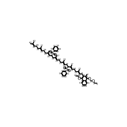 CCOCOc1c(C)c(C/C=C(\C)CC/C=C(\C)C(C/C=C(\C)CC/C=C(\C)CC(/C=C(\C)CC/C=C(\C)CCC=C(C)C)S(=O)(=O)c2ccccc2)S(=O)(=O)c2ccccc2)c(OCC)c2ccccc12